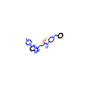 CN1CCN(c2ccc3nnc(CCC(=O)N[C@@H]4CCN(Cc5ccccc5)C[C@H]4F)n3n2)CC1